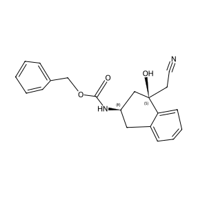 N#CC[C@@]1(O)C[C@H](NC(=O)OCc2ccccc2)Cc2ccccc21